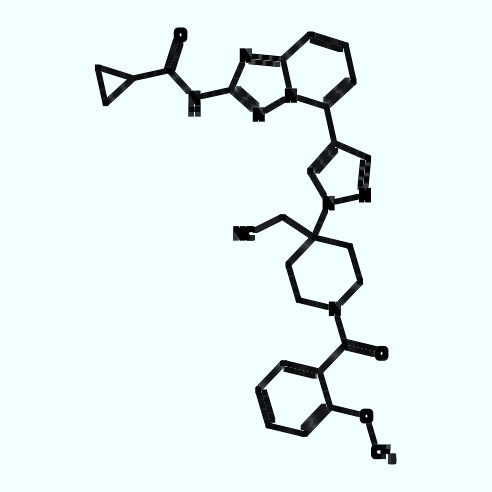 N#CCC1(n2cc(-c3cccc4nc(NC(=O)C5CC5)nn34)cn2)CCN(C(=O)c2ccccc2OC(F)(F)F)CC1